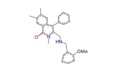 COc1ccccc1CNCc1c(-c2ccccc2)c2cc(C)c(C)cc2c(=O)n1C